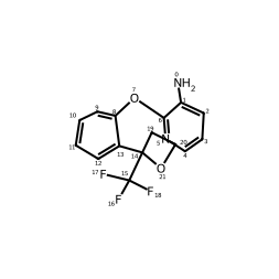 Nc1cccnc1Oc1ccccc1C1(C(F)(F)F)CCO1